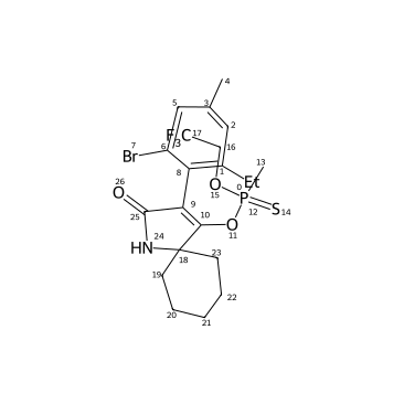 CCc1cc(C)cc(Br)c1C1=C(OP(C)(=S)OCC(F)(F)F)C2(CCCCC2)NC1=O